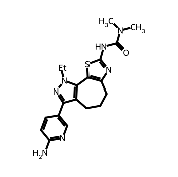 CCn1nc(-c2ccc(N)nc2)c2c1-c1sc(NC(=O)N(C)C)nc1CCC2